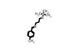 Cc1ccc(C=NCCCS[Si](C)(C)C)cc1